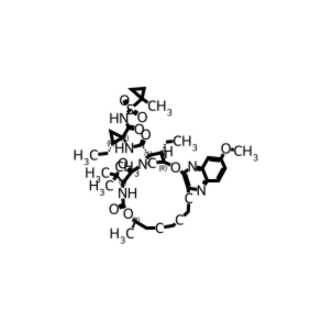 CC[C@@H]1[C@@H]2CN(C(=O)[C@H](C(C)(C)C)NC(=O)O[C@H](C)CCCCCCc3nc4ccc(OC)cc4nc3O2)[C@@H]1C(=O)N[C@]1(C(=O)NS(=O)(=O)C2(C)CC2)C[C@H]1CC